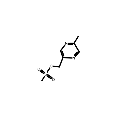 Cc1cnc(COS(C)(=O)=O)cn1